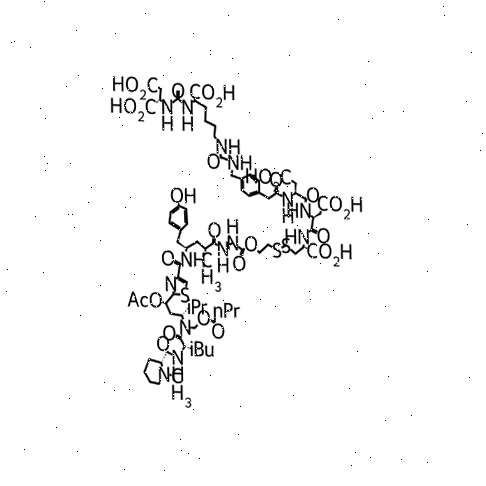 CCCC(=O)OCN(C(=O)[C@@H](NC(=O)[C@H]1CCCCN1C)C(C)CC)[C@H](C[C@@H](OC(C)=O)c1nc(C(=O)N[C@@H](Cc2ccc(O)cc2)C[C@H](C)C(=O)NNC(=O)OCCSSC[C@H](NC(=O)[C@H](CC(=O)O)NC(=O)[C@H](CC(=O)O)NC(=O)Cc2ccc(CNC(=O)NCCCC[C@H](NC(=O)N[C@@H](CC(=O)O)C(=O)O)C(=O)O)cc2)C(=O)O)cs1)C(C)C